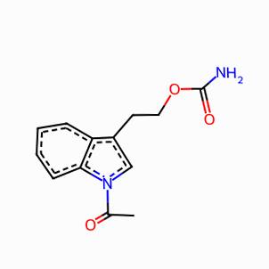 CC(=O)n1cc(CCOC(N)=O)c2ccccc21